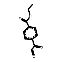 CCOC(=O)c1ccc(C(=O)C=O)cc1